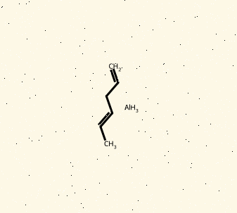 C=CCC=CC.[AlH3]